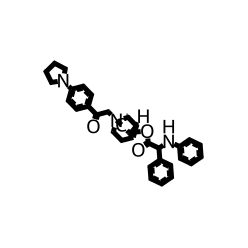 O=C(C[N+]12CCC(CC1)[C@@H](OC(=O)C(Nc1ccccc1)c1ccccc1)C2)c1ccc(N2CCCC2)cc1